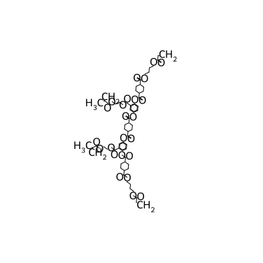 C=CC(=O)OCCCCOC(=O)C1CCC(C(=O)Oc2ccc(OC(=O)C3CCC(C(=O)Oc4ccc(OC(=O)C5CCC(C(=O)OCCCCOC(=O)C=C)CC5)c(C(=O)OCCOC(=O)C(=C)C)c4)CC3)cc2C(=O)OCCOC(=O)C(=C)C)CC1